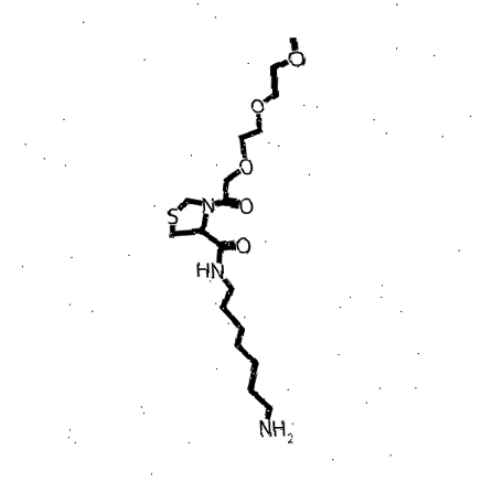 COCCOCCOCC(=O)N1CSCC1C(=O)NCCCCCCCN